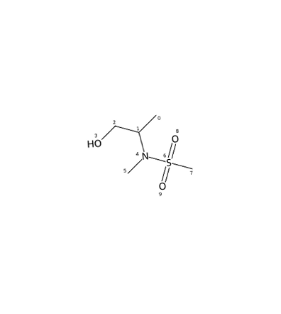 CC(CO)N(C)S(C)(=O)=O